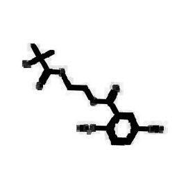 CCC(C)(C)C(=O)OCCOC(=O)c1cc(OC)ccc1C(=O)O